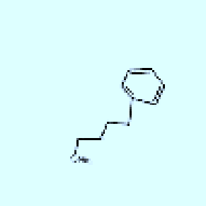 COC[CH]CCc1ccccc1